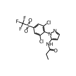 CCC(=O)Nc1ccnn1-c1c(Cl)cc(S(=O)(=O)C(F)(F)F)cc1Cl